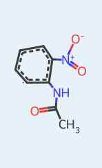 CC(=O)Nc1[c]cccc1[N+](=O)[O-]